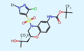 CCn1cc(S(=O)(=O)N2C[C@H](C[C@@](C)(O)C(=O)O)Oc3ccc(NC(=O)OC(C)(C)C(F)(F)F)cc32)c(Cl)n1